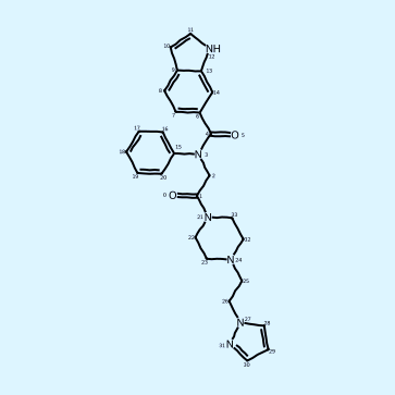 O=C(CN(C(=O)c1ccc2cc[nH]c2c1)c1ccccc1)N1CCN(CCn2cccn2)CC1